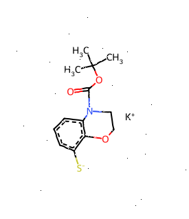 CC(C)(C)OC(=O)N1CCOc2c([S-])cccc21.[K+]